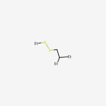 CCSSCC(CC)CC